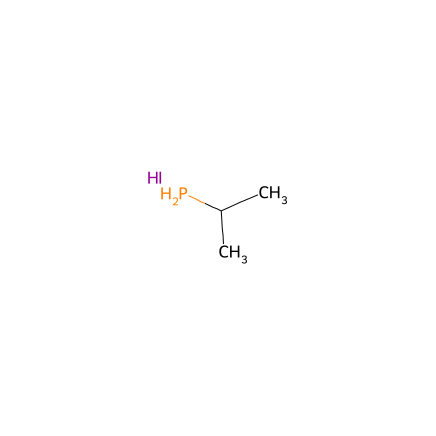 CC(C)P.I